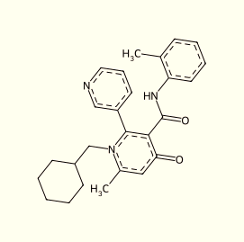 Cc1ccccc1NC(=O)c1c(-c2cccnc2)n(CC2CCCCC2)c(C)cc1=O